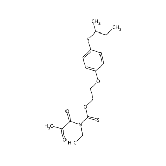 CCC(C)Sc1ccc(OCCOC(=S)N(CC)C(=O)C(C)=O)cc1